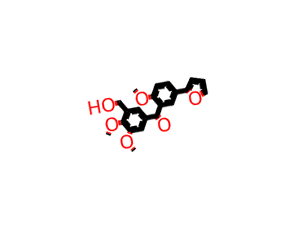 COc1ccc(-c2ccco2)cc1C(=O)c1cc(CO)c(OC)c(OC)c1